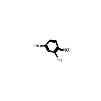 O=Cc1ccc(N=O)c(O)c1